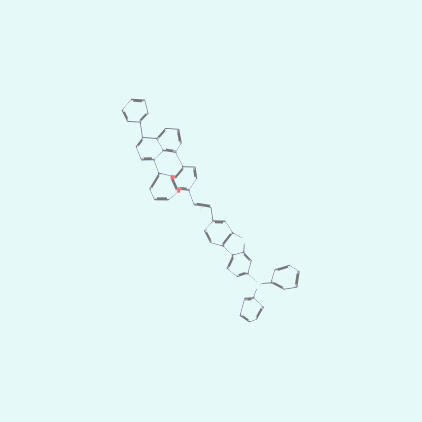 C(=C\c1ccc2c(c1)sc1cc(N(c3ccccc3)c3ccccc3)ccc12)/c1ccc(-c2cccc3c(-c4ccccc4)ccc(-c4ccccc4)c23)cc1